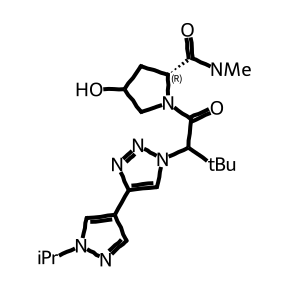 CNC(=O)[C@H]1CC(O)CN1C(=O)C(n1cc(-c2cnn(C(C)C)c2)nn1)C(C)(C)C